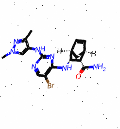 Cc1nn(C)cc1Nc1ncc(Br)c(N[C@H]2[C@@H](C(N)=O)[C@@H]3C=C[C@H]2C3)n1